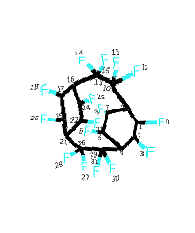 FC1C(F)C2C(F)C(F)C1C(F)(F)C(F)(F)C1C(F)C(F)C(C(F)C1F)C(F)(F)C2(F)F